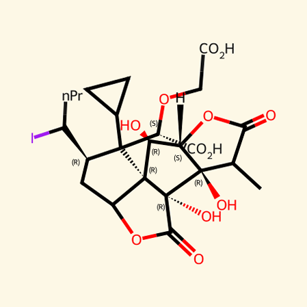 CCCC(I)[C@@H]1CC2OC(=O)[C@]3(O)[C@@]4(O)C(C)C(=O)O[C@H]4[C@H](O)[C@]23C1(C1CC1)[C@H](OCC(=O)O)C(=O)O